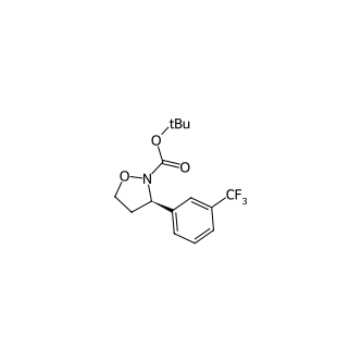 CC(C)(C)OC(=O)N1OCC[C@@H]1c1cccc(C(F)(F)F)c1